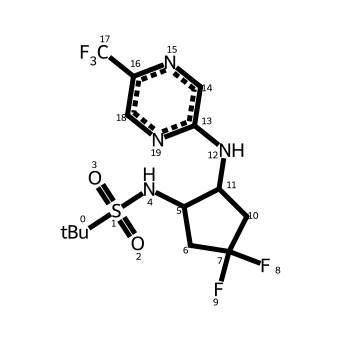 CC(C)(C)S(=O)(=O)NC1CC(F)(F)CC1Nc1cnc(C(F)(F)F)cn1